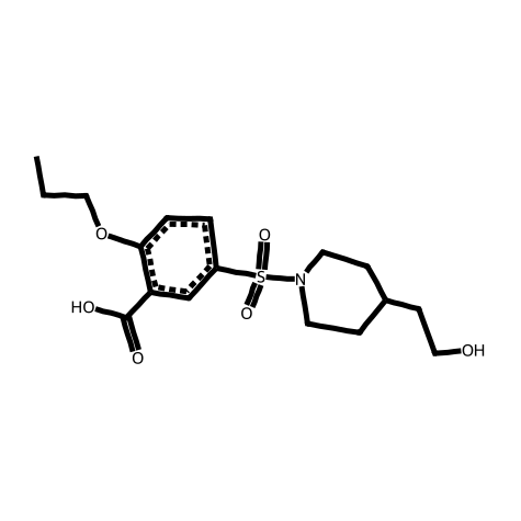 CCCOc1ccc(S(=O)(=O)N2CCC(CCO)CC2)cc1C(=O)O